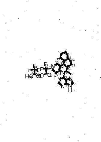 CC(Nc1ncnc2[nH]cnc12)c1ccc2ccccc2c1-c1cncc(F)c1.O=C(O)C(F)(F)F.O=C(O)C(F)(F)F